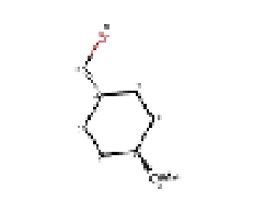 CO[C@H]1CC[C@H](CBr)CC1